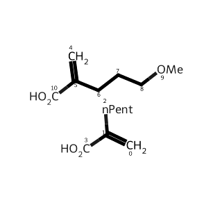 C=C(CCCCC)C(=O)O.C=C(CCCOC)C(=O)O